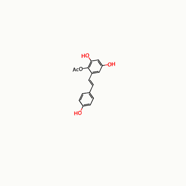 CC(=O)Oc1c(O)cc(O)cc1/C=C/c1ccc(O)cc1